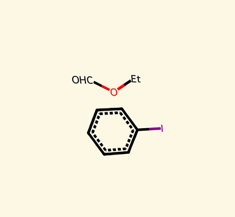 CCOC=O.Ic1ccccc1